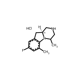 Cc1cc(F)cc2c1N1C(C)CNC[C@@H]1C2.Cl